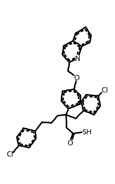 O=C(S)CC(CCCc1ccc(Cl)cc1)(Cc1ccc(Cl)cc1)c1ccc(OCc2ccc3ccccc3n2)cc1